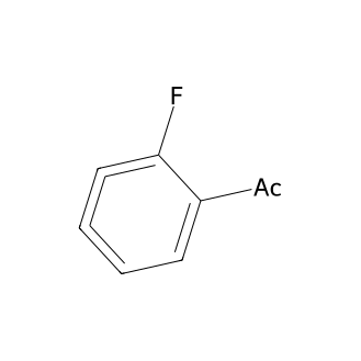 CC(=O)C1=CC=C=C=C1F